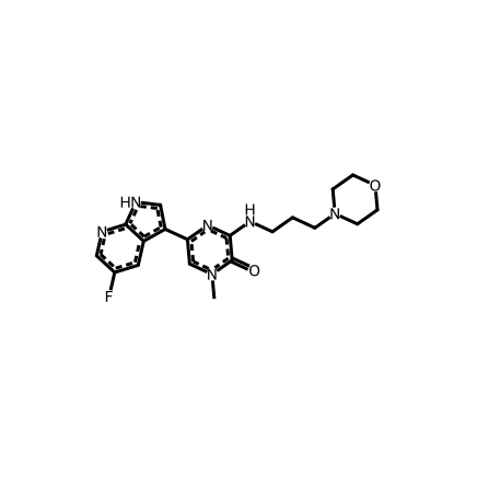 Cn1cc(-c2c[nH]c3ncc(F)cc23)nc(NCCCN2CCOCC2)c1=O